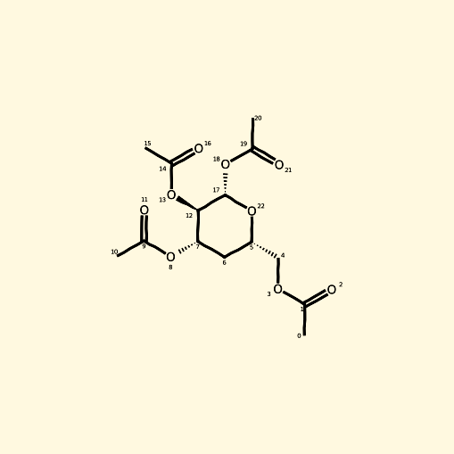 CC(=O)OC[C@@H]1C[C@H](OC(C)=O)[C@@H](OC(C)=O)[C@H](OC(C)=O)O1